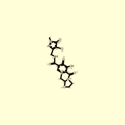 Cn1nc(CNC(=O)c2cn3c(c(O)c2=O)C(=O)N2CCOC2C3)c(Cl)c1Cl